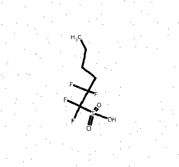 CCCCC(F)(F)C(F)(F)S(=O)(=O)O